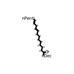 CCCCCC=CCC=CCCCCCCCC(=O)CCCCCCCCCC